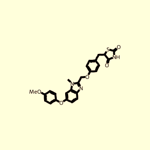 COc1ccc(Oc2ccc3nc(COc4ccc(CC5SC(=O)NC5=O)cc4)n(C)c3c2)cc1